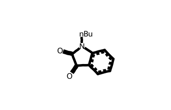 CCCCN1C(=O)C(=O)c2ccccc21